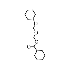 O=C(OCOCOC1CCCCC1)C1CCCCC1